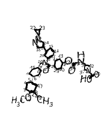 COc1ccc([C@H]2CC[C@H](CN(c3cccc(-c4cnn(C5CC5)c4)c3)C(=O)[C@H]3CC[C@H](OC(=O)NC4CN(C(=O)O)C4)CC3)CC2)cc1C